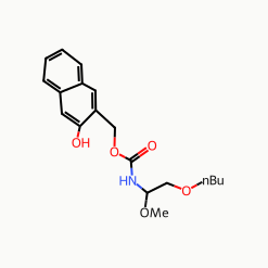 CCCCOCC(NC(=O)OCc1cc2ccccc2cc1O)OC